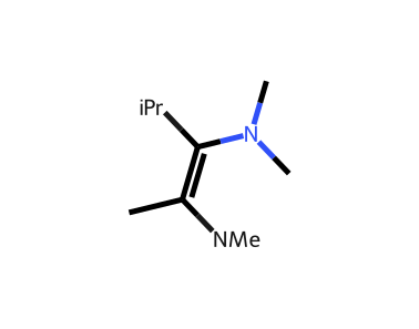 CN/C(C)=C(/C(C)C)N(C)C